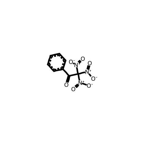 O=C(c1ccccc1)C([N+](=O)[O-])([N+](=O)[O-])[N+](=O)[O-]